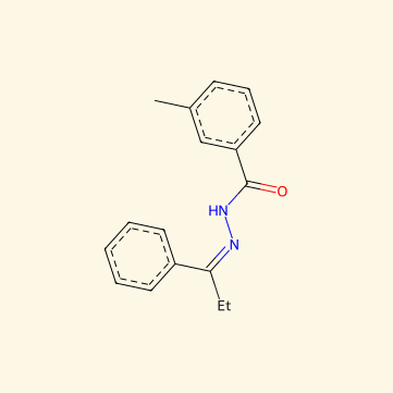 CCC(=NNC(=O)c1cccc(C)c1)c1ccccc1